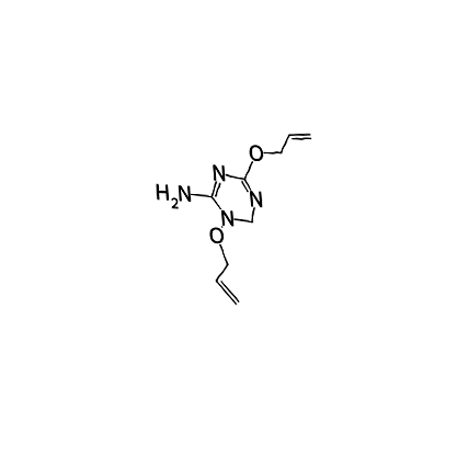 C=CCOC1=NCN(OCC=C)C(N)=N1